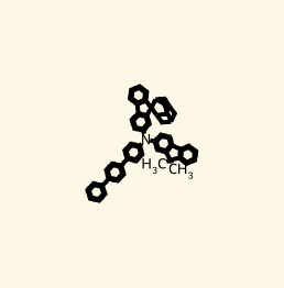 CC1(C)c2ccccc2-c2ccc(N(c3ccc(-c4ccc(-c5ccccc5)cc4)cc3)c3ccc4c(c3)C3(c5ccccc5-4)C4CC5CC(C4)CC3C5)cc21